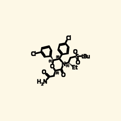 CC[C@@H](CS(=O)(=O)C(C)(C)C)N1C(=O)[C@@H](CC(N)=O)O[C@H](c2cccc(Cl)c2)[C@H]1c1ccc(Cl)cc1